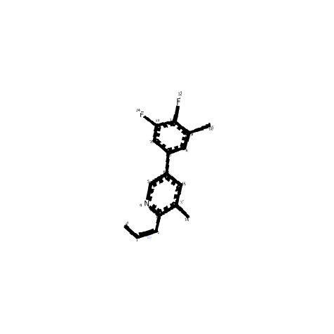 C/C=C\c1ncc(-c2cc(C)c(F)c(F)c2)cc1C